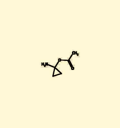 CC(=O)OC1(N)CC1